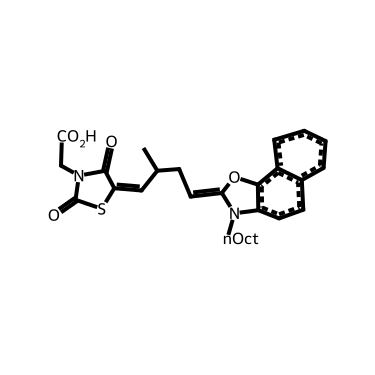 CCCCCCCCN1C(=CCC(C)C=C2SC(=O)N(CC(=O)O)C2=O)Oc2c1ccc1ccccc21